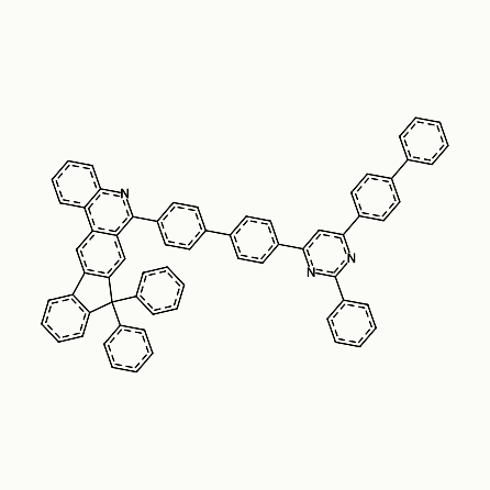 c1ccc(-c2ccc(-c3cc(-c4ccc(-c5ccc(-c6nc7ccccc7c7cc8c(cc67)C(c6ccccc6)(c6ccccc6)c6ccccc6-8)cc5)cc4)nc(-c4ccccc4)n3)cc2)cc1